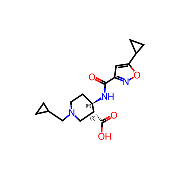 O=C(N[C@@H]1CCN(CC2CC2)C[C@H]1C(=O)O)c1cc(C2CC2)on1